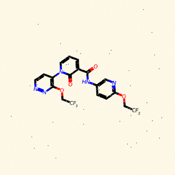 O=C(Nc1ccc(OCC(F)(F)F)nc1)c1cccn(-c2ccnnc2OCC(F)(F)F)c1=O